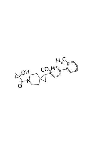 Cc1ccccc1-c1ccc([C@@]2(C(=O)O)CC23CCN(C(=O)C2(O)CC2)CC3)cc1